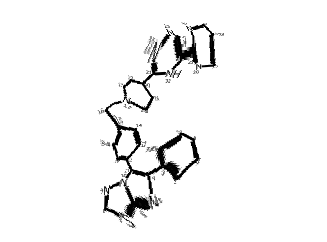 c1ccc(-c2nc3scnn3c2-c2ccc(CN3CCC(c4nnc(-c5ncccn5)[nH]4)CC3)cc2)cc1